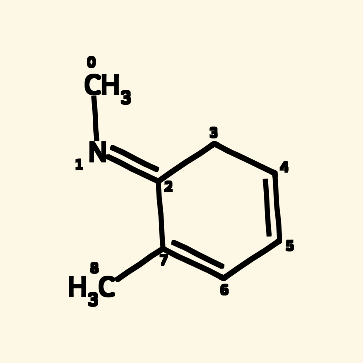 CN=C1CC=CC=C1C